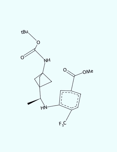 COC(=O)c1ccc(C(F)(F)F)c(N[C@@H](C)C23CC(NC(=O)OC(C)(C)C)(C2)C3)c1